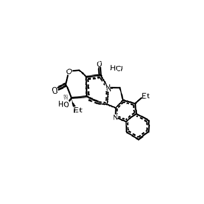 CCc1c2c(nc3ccccc13)-c1cc3c(c(=O)n1C2)COC(=O)[C@]3(O)CC.Cl